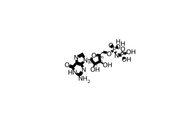 Nc1nc2c(ncn2[C@@H]2O[C@H](COP(=O)(O)N=P(O)(O)O)[C@@H](O)[C@H]2O)c(=O)[nH]1